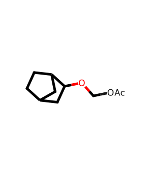 CC(=O)OCOC1CC2CCC1C2